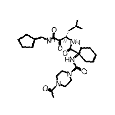 CC(=O)N1CCN(C(=O)NC2(C(=O)N[C@@H](CC(C)C)C(=O)C(=O)NCC3CCCC3)CCCCC2)CC1